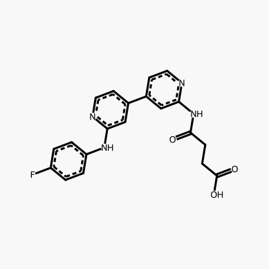 O=C(O)CCC(=O)Nc1cc(-c2ccnc(Nc3ccc(F)cc3)c2)ccn1